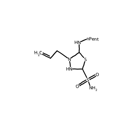 C=CCN1NC(S(N)(=O)=O)SC1NCCCCC